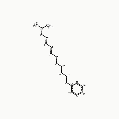 CC(=O)N(C)C/C=C/C=C/CCCCCCc1ccccc1